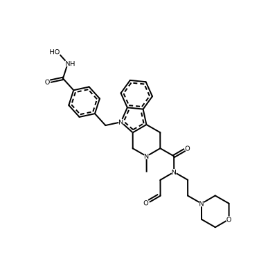 CN1Cc2c(c3ccccc3n2Cc2ccc(C(=O)NO)cc2)CC1C(=O)N(CC=O)CCN1CCOCC1